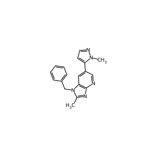 Cc1nc2ncc(-c3ccnn3C)cc2n1Cc1ccccc1